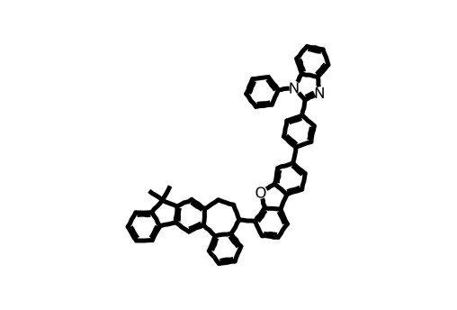 CC1(C)c2ccccc2-c2cc3c(cc21)CCC(c1cccc2c1oc1cc(-c4ccc(-c5nc6ccccc6n5-c5ccccc5)cc4)ccc12)c1ccccc1-3